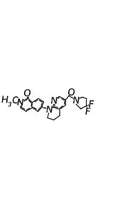 Cn1ccc2cc(N3CCCc4cc(C(=O)N5CCC(F)(F)CC5)cnc43)ccc2c1=O